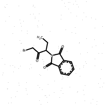 CCC(C(=O)CBr)N1C(=O)c2ccccc2C1=O